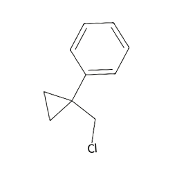 ClCC1(c2ccccc2)CC1